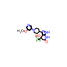 COc1cncc(N2CCC(c3n[nH]c4c3C(O)(C(F)(F)F)CC(=O)N4)CC2)c1